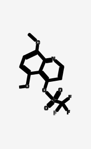 COc1ccc(OC)c2c(OS(=O)(=O)C(F)(F)F)ccnc12